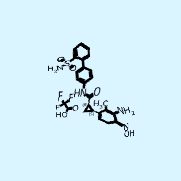 CC1=C(N)C(=NO)CC=C1[C@H]1C[C@H]1C(=O)Nc1ccc(-c2ccccc2S(N)(=O)=O)cc1.O=C(O)C(F)(F)F